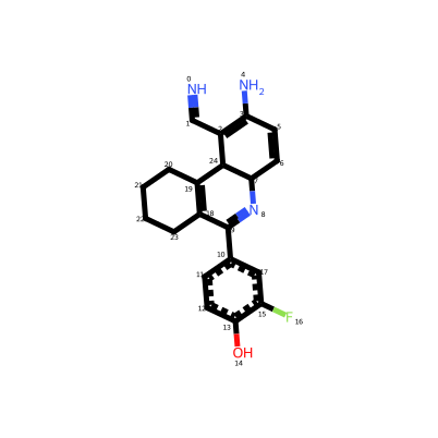 N=CC1=C(N)C=CC2N=C(c3ccc(O)c(F)c3)C3=C(CCCC3)C12